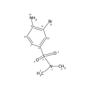 CN(C)S(=O)(=O)c1ccc(N)c(Br)c1